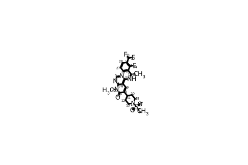 C[C@@H](Nc1ncnc2c1cc(C1CCN(S(C)(=O)=O)CC1)c(=O)n2C)c1cccc(C(F)F)c1F